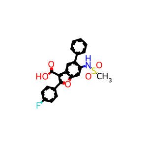 CS(=O)(=O)Nc1cc2oc(-c3ccc(F)cc3)c(C(=O)O)c2cc1-c1ccccc1